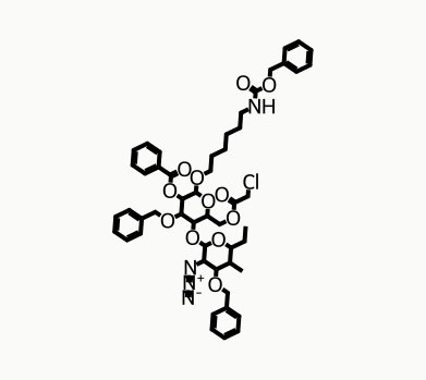 CCC1OC(OC2C(COC(=O)CCl)OC(OCCCCCCNC(=O)OCc3ccccc3)C(OC(=O)c3ccccc3)C2OCc2ccccc2)C(N=[N+]=[N-])C(OCc2ccccc2)C1C